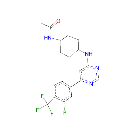 CC(=O)NC1CCC(Nc2cc(-c3ccc(C(F)(F)F)c(F)c3)ncn2)CC1